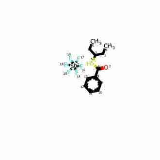 CCC(CC)[SH+]C(=O)c1ccccc1.[F][Sb-]([F])([F])([F])([F])[F]